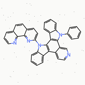 c1ccc(-n2c3ccccc3c3c2c2cnccc2c2c4ccccc4n(-c4ccc5ccc6cccnc6c5n4)c23)cc1